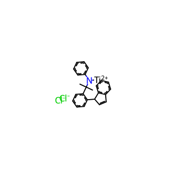 CC(C)(c1ccccc1C1C=Cc2ccccc21)[N]([Ti+2])c1ccccc1.[Cl-].[Cl-]